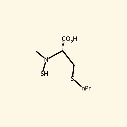 CCCSC[C@@H](C(=O)O)N(C)S